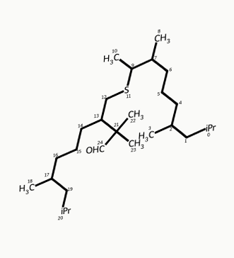 CC(C)CC(C)CCCC(C)C(C)SCC(CCCC(C)CC(C)C)C(C)(C)C=O